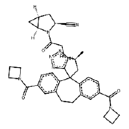 C[C@@H](CC1(c2nnn[nH]2)c2ccc(C(=O)N3CCC3)cc2CCc2cc(C(=O)N3CCC3)ccc21)NCC(=O)N1[C@H](C#N)C[C@@H]2C[C@@H]21